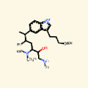 COCCCc1c[nH]c2ccc(C(C)C(CC(C(O)CNC(C)C)N(C(=O)O)C(C)(C)C)C(C)C)cc12